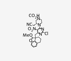 COC(=O)C1(Cc2nc(Cl)nc(N3CCN(C(=O)O)C[C@@H]3CC#N)c2[N+](=O)[O-])CCCc2ccccc21